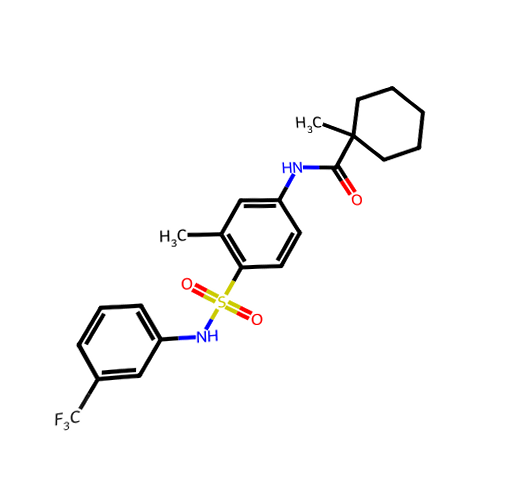 Cc1cc(NC(=O)C2(C)CCCCC2)ccc1S(=O)(=O)Nc1cccc(C(F)(F)F)c1